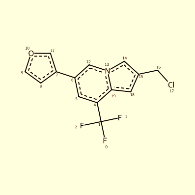 FC(F)(F)c1cc(-c2ccoc2)cn2cc(CCl)cc12